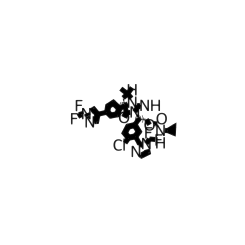 CC(C)(C)C[C@]1(c2ccc(-c3cnn(C(F)F)c3)cc2)NC(=N)N([C@H](COC(=O)NC2CC2)c2ccc(Cl)c(-c3nccn3C(F)F)c2)C1=O